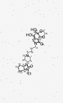 CCn1c(=O)n(C2CCN(CCCCn3sc4c(O)c(O)c5c(c4c3=O)OCCO5)CC2)c2ccccc21